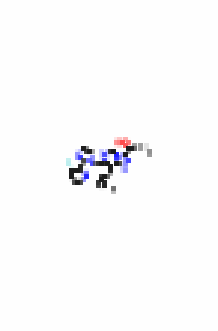 CCCc1c(Cn2ccnc2-c2ncccc2F)ncn2c(C(C)O)nnc12